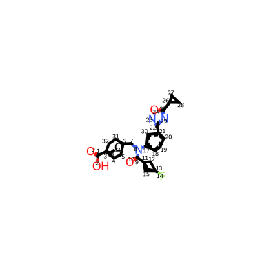 O=C(O)C12CCC(CN(C(=O)C34CC(F)(C3)C4)c3cccc(-c4noc(C5CC5)n4)c3)(CC1)CC2